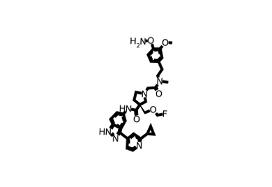 COc1cc(CCN(C)C(=O)CN2CC[C@@](COCF)(C(=O)Nc3ccc4[nH]nc(-c5ccnc(C6CC6)c5)c4c3)C2)ccc1ON